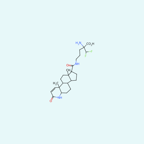 CC12C=CC(=O)NC1CCC1C2CCC2(C)C(C(=O)NCCCC(N)(C(=O)O)C(F)F)CCC12